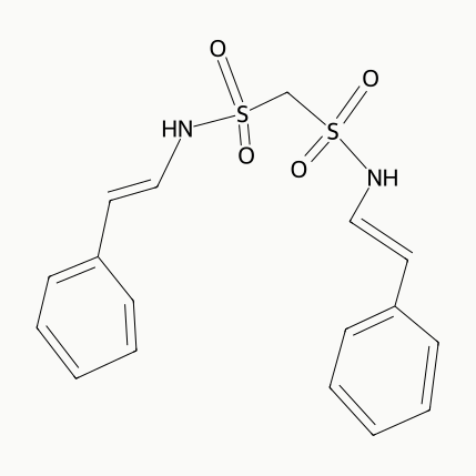 O=S(=O)(CS(=O)(=O)NC=Cc1ccccc1)NC=Cc1ccccc1